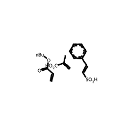 C=C(C)C(=O)O.C=CC(=O)OCCCC.O=S(=O)(O)C=Cc1ccccc1